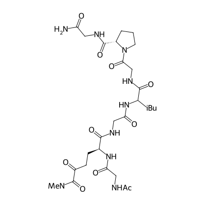 CCC(C)C(NC(=O)CNC(=O)[C@H](CCC(=O)C(=O)NC)NC(=O)CNC(C)=O)C(=O)NCC(=O)N1CCC[C@H]1C(=O)NCC(N)=O